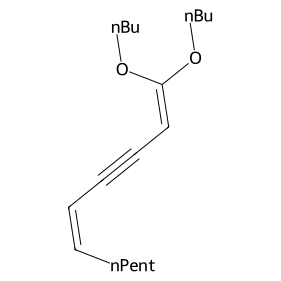 CCCCC/C=C\C#CC=C(OCCCC)OCCCC